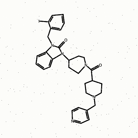 O=C(C1CCN(Cc2ccncc2)CC1)N1CCC(n2c(=O)n(Cc3ccccc3I)c3ccccc32)CC1